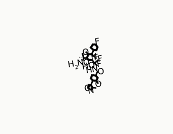 COc1cc(C(=O)NCC(O)(c2cc3c(c(-c4ccc(F)cc4)n2)OC[C@]3(C)C(N)=O)C(F)(F)F)ccc1-c1conc1C